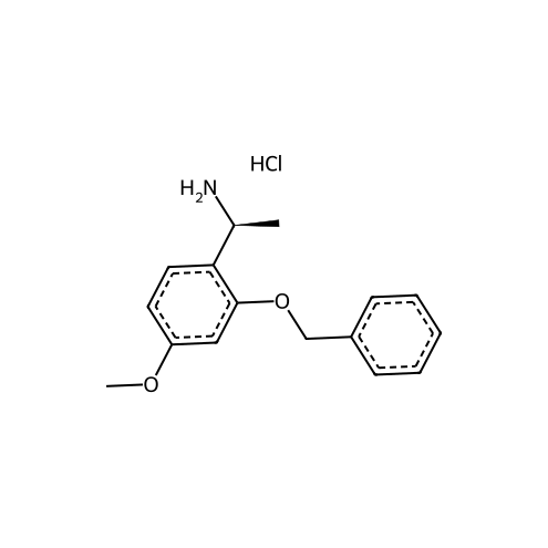 COc1ccc([C@H](C)N)c(OCc2ccccc2)c1.Cl